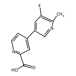 Cc1ncc(-c2ccnc(C(=O)O)c2)cc1F